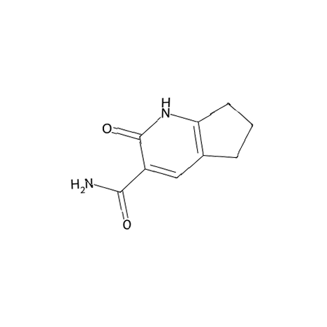 NC(=O)c1cc2c([nH]c1=O)CCC2